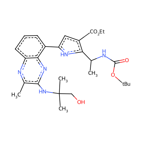 CCOC(=O)c1cc(-c2cccc3nc(C)c(NC(C)(C)CO)nc23)[nH]c1C(C)NC(=O)OC(C)(C)C